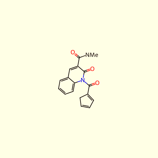 CNC(=O)c1cc2ccccc2n(C(=O)C2=CC=CC2)c1=O